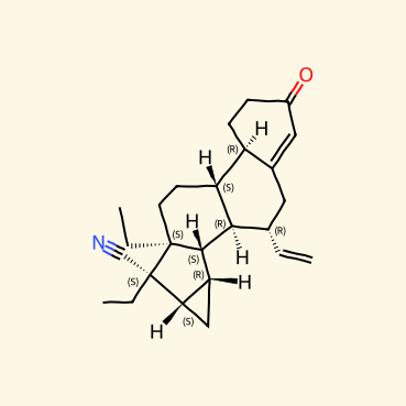 C=C[C@H]1CC2=CC(=O)CC[C@@H]2[C@H]2CC[C@@]3(CC)[C@@H]([C@@H]4C[C@@H]4[C@@]3(C#N)CC)[C@@H]21